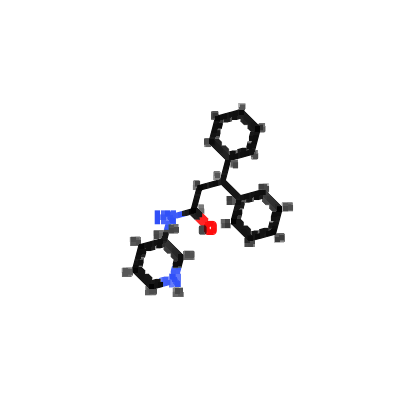 O=C(CC(c1ccccc1)c1ccccc1)Nc1cccnc1